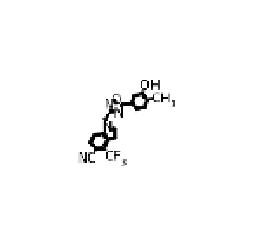 Cc1ccc(-c2nc(Cn3ccc4c(C(F)(F)F)c(C#N)ccc43)no2)cc1O